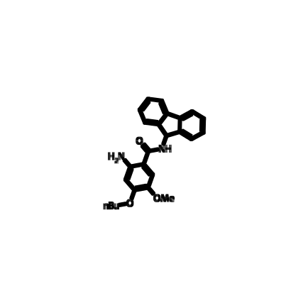 CCCCOc1cc(N)c(C(=O)NC2c3ccccc3-c3ccccc32)cc1OC